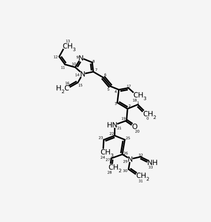 C=C/C(=C\C(C#Cc1cnc(/C=C\C)n1C=C)=C/C)C(=O)NC(=C/C)/C=C(\C=C)N(C=C)C=N